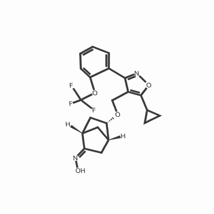 O/N=C1\C[C@@H]2C[C@H]1C[C@@H]2OCc1c(-c2ccccc2OC(F)(F)F)noc1C1CC1